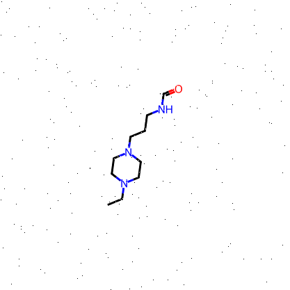 CCN1CCN(CCCN[C]=O)CC1